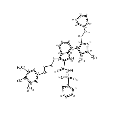 Cc1cc(OCCCc2c(C(=O)NS(=O)(=O)c3ccccc3)[nH]c3c(-c4c(COc5cccnc5)nn(C)c4C)cccc23)cc(C)c1Cl